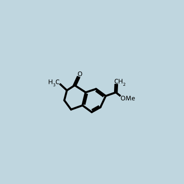 C=C(OC)c1ccc2c(c1)C(=O)C(C)CC2